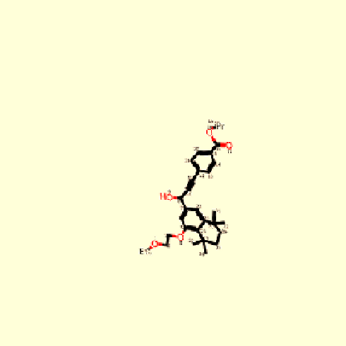 CCOCCOc1cc(C(O)C#Cc2ccc(C(=O)OC(C)C)cc2)cc2c1C(C)(C)CCC2(C)C